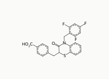 O=C(O)c1ccc(CC2Sc3ccccc3N(Cc3c(F)cc(F)cc3F)C2=O)cc1